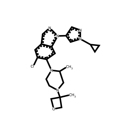 CC1CN(C2(C)COC2)CCN1c1cc2c(cnn2-c2cnn(C3CC3)c2)cc1Cl